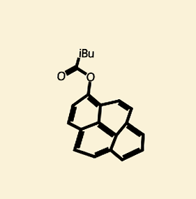 CCC(C)C(=O)Oc1ccc2ccc3cccc4ccc1c2c34